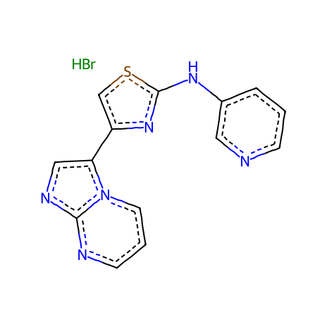 Br.c1cncc(Nc2nc(-c3cnc4ncccn34)cs2)c1